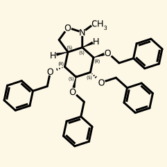 CN1OC[C@H]2[C@@H](OCc3ccccc3)[C@H](OCc3ccccc3)[C@@H](OCc3ccccc3)[C@H](OCc3ccccc3)[C@H]21